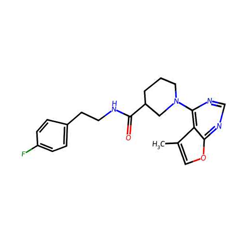 Cc1coc2ncnc(N3CCCC(C(=O)NCCc4ccc(F)cc4)C3)c12